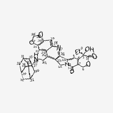 CC[C@@]1(O)C(=O)OCc2c1cc1n(c2=O)Cc2c-1nc1cc3c(cc1c2CNC12CC4CC(CC(C4)C1)C2)OCO3